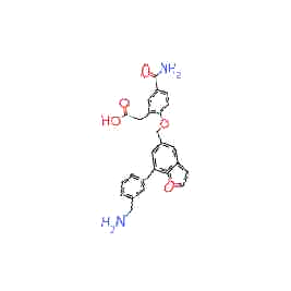 NCc1cccc(-c2cc(COc3ccc(C(N)=O)cc3CC(=O)O)cc3ccoc23)c1